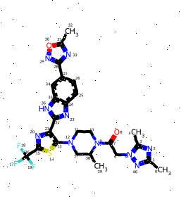 Cc1nc(C)n(CC(=O)N2CCN(c3sc(C(F)(F)F)nc3-c3nc4ccc(-c5noc(C)n5)cc4[nH]3)CC2C)n1